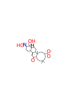 COC(=O)[C@@]1(C)CCC(C)(C)CCC2C(=O)C=C3[C@@]4(C)CCC(=NO)[C@](C)(CO)[C@@H]4CC[C@@]3(C)[C@]2(C)CC1